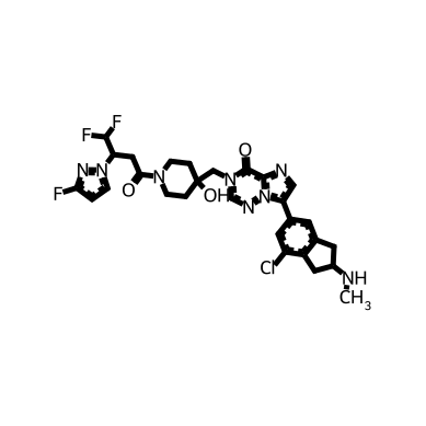 CNC1Cc2cc(-c3cnc4c(=O)n(CC5(O)CCN(C(=O)CC(C(F)F)n6ccc(F)n6)CC5)cnn34)cc(Cl)c2C1